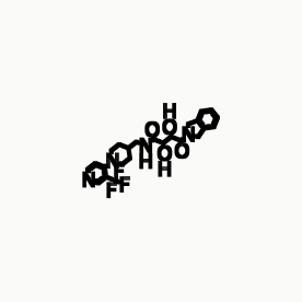 O=C(NCC1CCN(c2ccncc2C(F)(F)F)CC1)C(O)[C@@H](O)C(=O)N1Cc2ccccc2C1